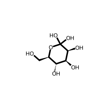 OC[C@H]1OC(O)(O)[C@@H](O)[C@@H](O)[C@@H]1O